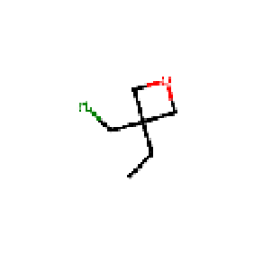 CCC1(CCl)COC1